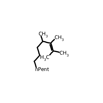 CCCCCCCCC(C)C(C)=C(C)C